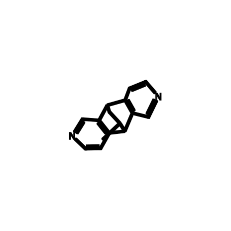 CC1CC2c3cnccc3C1c1cnccc12